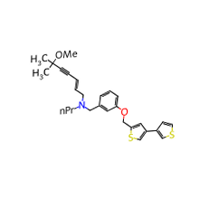 CCCN(CC=CC#CC(C)(C)OC)Cc1cccc(OCc2cc(-c3ccsc3)cs2)c1